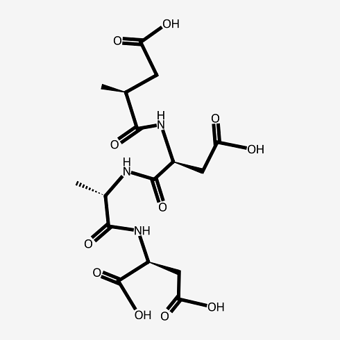 C[C@H](NC(=O)[C@H](CC(=O)O)NC(=O)[C@@H](C)CC(=O)O)C(=O)N[C@@H](CC(=O)O)C(=O)O